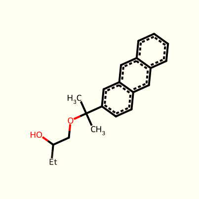 CCC(O)COC(C)(C)c1ccc2cc3ccccc3cc2c1